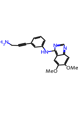 COc1cc2ncnc(Nc3cccc(C#CCN)c3)c2cc1OC